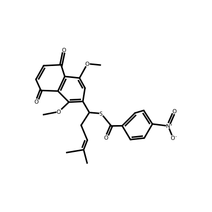 COc1cc(C(CC=C(C)C)SC(=O)c2ccc([N+](=O)[O-])cc2)c(OC)c2c1C(=O)C=CC2=O